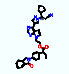 CCC(C(=O)OCCn1ccc2c(-c3cnn([C@H](CC#N)C4CCCC4)c3)ncnc21)c1ccc(N2Cc3ccccc3C2=O)cc1